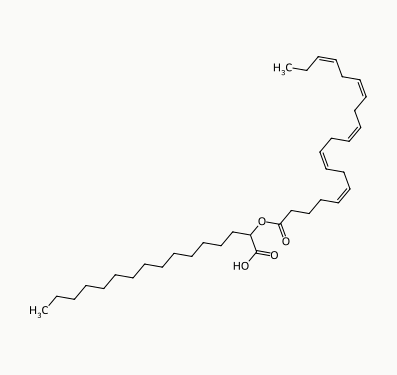 CC/C=C\C/C=C\C/C=C\C/C=C\C/C=C\CCCC(=O)OC(CCCCCCCCCCCCCC)C(=O)O